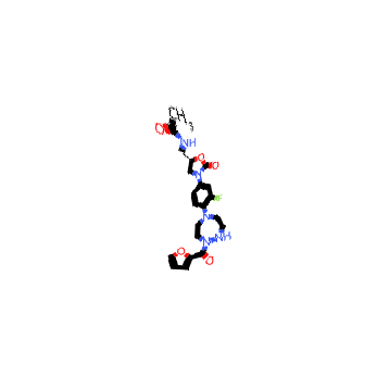 CC(=O)NC[C@H]1CN(c2ccc(N3CCNN(C(=O)c4ccco4)CC3)c(F)c2)C(=O)O1